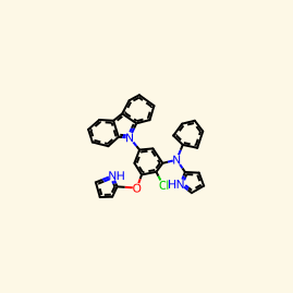 Clc1c(Oc2ccc[nH]2)cc(-n2c3ccccc3c3ccccc32)cc1N(c1ccccc1)c1ccc[nH]1